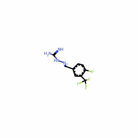 N=C(N)N/N=C/c1ccc(F)c(C(F)(F)F)c1